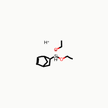 CCO[SiH](OCC)C1CC2C=CC1C2.[H+]